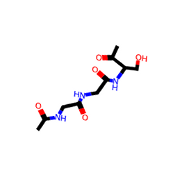 CC(=O)NCC(=O)NCC(=O)NC(CO)C(C)=O